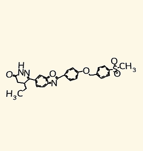 CCC1CC(=O)NN=C1c1ccc2nc(-c3ccc(OCc4ccc(S(C)(=O)=O)cc4)cc3)oc2c1